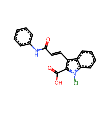 O=C(C=Cc1c(C(=O)O)n(Cl)c2ccccc12)Nc1ccccc1